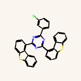 Clc1cccc(-c2nc(-c3cccc4sc5ccccc5c34)nc(-c3cccc4sc5ccccc5c34)n2)c1